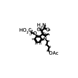 CC(=O)OCCCCn1c(C)c(C(=O)C(N)=O)c2c(OCC(=O)O)cccc21